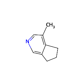 Cc1cncc2c1CCC2